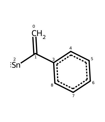 C=[C]([Sn])c1ccccc1